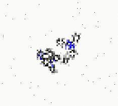 c1ccc(-c2nc(-c3ccccc3)nc(-c3cccc(-c4cccc(-c5cccc(-n6c7ccccc7c7ccc8c9nccnc9c9ccccc9c8c76)c5)c4)c3)n2)cc1